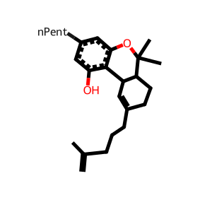 C=C(C)CCCC1=CC2c3c(O)cc(CCCCC)cc3OC(C)(C)C2CC1